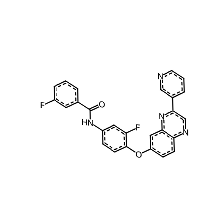 O=C(Nc1ccc(Oc2ccc3ncc(-c4cccnc4)nc3c2)c(F)c1)c1cccc(F)c1